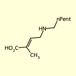 CCCCCCNCC=C(C)C(=O)O